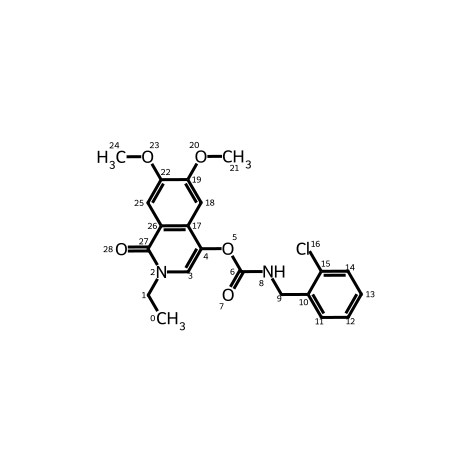 CCn1cc(OC(=O)NCc2ccccc2Cl)c2cc(OC)c(OC)cc2c1=O